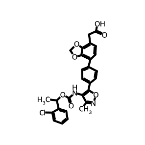 Cc1noc(-c2ccc(-c3ccc(CC(=O)O)c4c3OCO4)cc2)c1NC(=O)OC(C)c1ccccc1Cl